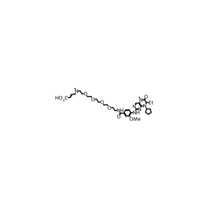 CC[C@@H]1C(=O)N(C)c2cnc(Nc3ccc(C(=O)NCCOCCOCCOCCOCCN(C)C/C=C/C(=O)O)cc3OC)nc2N1C1CCCC1